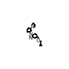 c1cc(-n2cccc2)cc(-n2cnc3cc(COCC4CC4)ccc32)c1